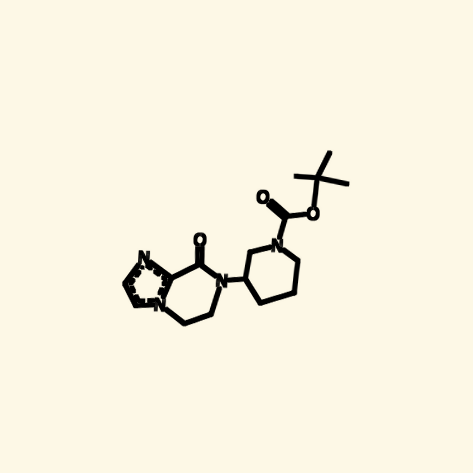 CC(C)(C)OC(=O)N1CCCC(N2CCn3ccnc3C2=O)C1